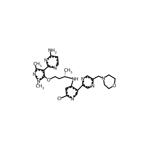 Cc1nn(C)c(OCC[C@H](C)Nc2cc(Cl)ncc2-c2cnc(CN3CCOCC3)cn2)c1-c1nccc(N)n1